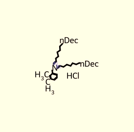 CCCCCCCCCCCCCCCC/C=C/N(/C=C/CCCCCCCCCCCCCCCC)Cc1cccc(C)c1C.Cl